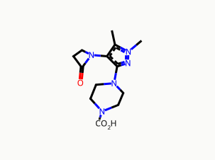 Cc1c(N2CCC2=O)c(N2CCN(C(=O)O)CC2)nn1C